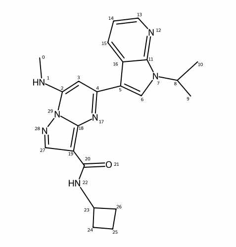 CNc1cc(-c2cn(C(C)C)c3ncccc23)nc2c(C(=O)NC3CCC3)cnn12